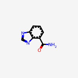 NC(=O)c1cccc2c1N=C=N2